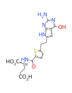 Nc1nc(O)c2cc(CCc3ccc(C(=O)N[C@@H](CCC(=O)O)C(=O)O)s3)[nH]c2n1